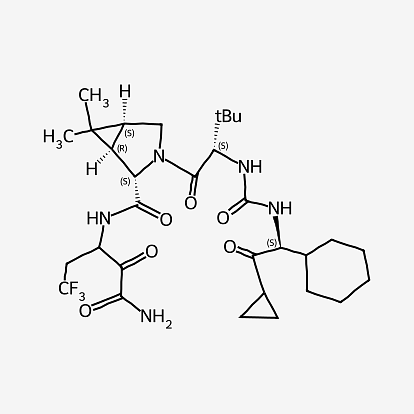 CC(C)(C)[C@H](NC(=O)N[C@H](C(=O)C1CC1)C1CCCCC1)C(=O)N1C[C@H]2[C@@H]([C@H]1C(=O)NC(CC(F)(F)F)C(=O)C(N)=O)C2(C)C